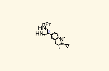 CCCN/C=C(\C=N)c1ccc2c(c1)CC(C)[C@H](C1CC1)N2C